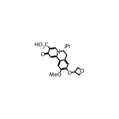 COc1cc2c(cc1OC1COC1)C[C@@H](C(C)C)n1cc(C(=O)O)c(=O)cc1-2